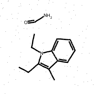 CCc1c(C)c2ccccc2n1CC.NC=O